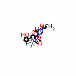 C=CC(=O)N1CCN2C(=O)c3c(cc(-c4c(O)cccc4F)nc3N3CCOC[C@@H]3C)OC[C@H]2C1